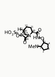 CNC1CCCC1ONC(=O)[C@@H]1CC[C@@H]2CN1C(=O)N2OS(=O)(=O)O